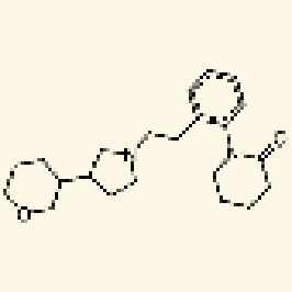 O=C1CCCCN1c1ccccc1CCN1CCC(C2CCCOC2)C1